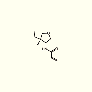 C=CC(=O)N[C@H]1COC[C@@]1(C)CC